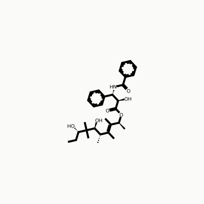 CC[C@H](O)C(C)(C)[C@@H](O)[C@@H](C)/C(C)=C(\C)[C@H](C)OC(=O)[C@H](O)[C@@H](NC(=O)c1ccccc1)c1ccccc1